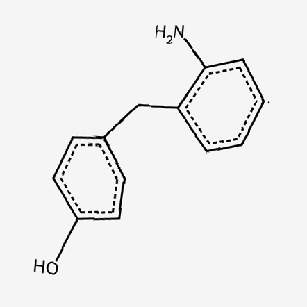 Nc1c[c]ccc1Cc1ccc(O)cc1